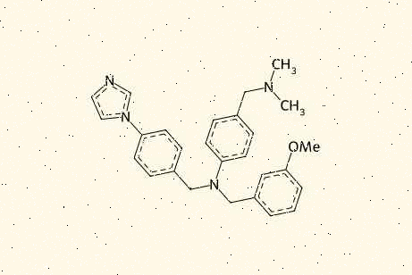 COc1cccc(CN(Cc2ccc(-n3ccnc3)cc2)c2ccc(CN(C)C)cc2)c1